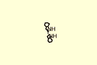 c1ccc2[nH][c]([Y][c]3cc4ccccc4[nH]3)cc2c1